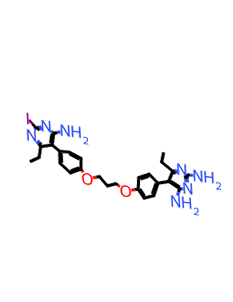 CCc1nc(N)nc(N)c1-c1ccc(OCCCOc2ccc(-c3c(N)nc(I)nc3CC)cc2)cc1